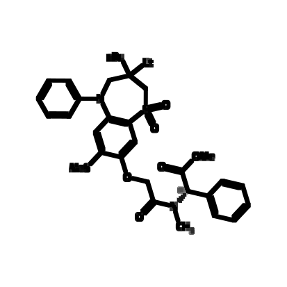 CCCCC1(CC)CN(c2ccccc2)c2cc(SC)c(OCC(=O)N(C)[C@H](C(=O)OC)c3ccccc3)cc2S(=O)(=O)C1